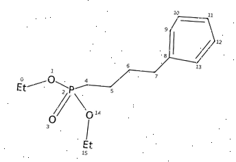 CCOP(=O)(CCCCc1ccccc1)OCC